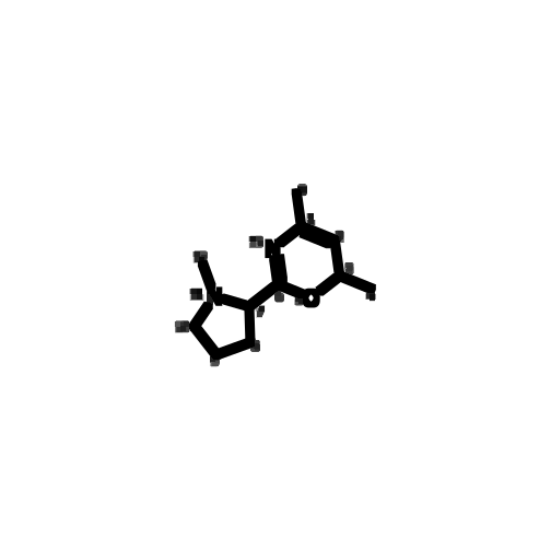 CC1=CC(C)OC(C2CCCN2C)=N1